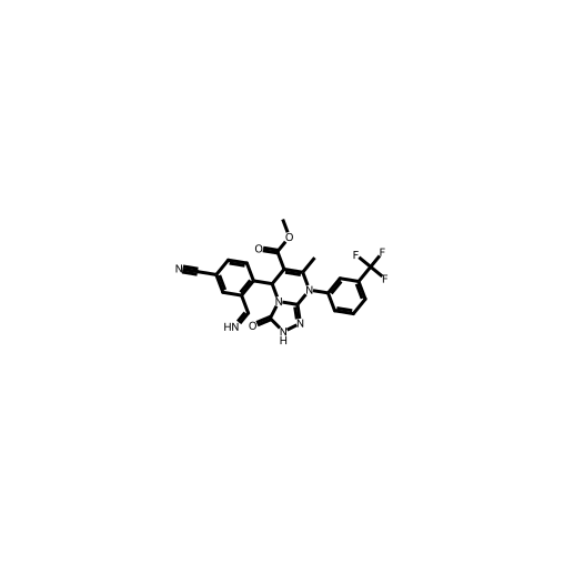 COC(=O)C1=C(C)N(c2cccc(C(F)(F)F)c2)c2n[nH]c(=O)n2C1c1ccc(C#N)cc1C=N